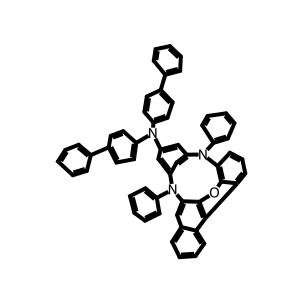 c1ccc(-c2ccc(N(c3ccc(-c4ccccc4)cc3)c3cc4cc(c3)N(c3ccccc3)c3cc5ccccc5c5c3oc3c(cccc35)N4c3ccccc3)cc2)cc1